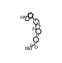 CC(C)(C)OC(=O)N1CCC(N2CC[C@H](CN3CCN(c4cccc5c4CCN5)CC3)C(F)(F)C2)CC1